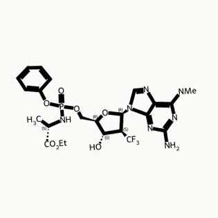 CCOC(=O)[C@H](C)NP(=O)(OC[C@H]1O[C@@H](n2cnc3c(NC)nc(N)nc32)[C@@H](C(F)(F)F)[C@@H]1O)Oc1ccccc1